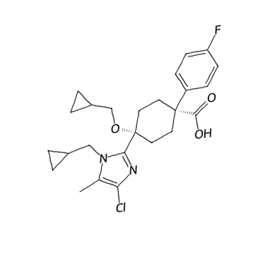 Cc1c(Cl)nc([C@]2(OCC3CC3)CC[C@](C(=O)O)(c3ccc(F)cc3)CC2)n1CC1CC1